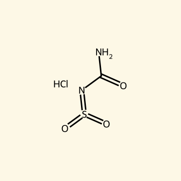 Cl.NC(=O)N=S(=O)=O